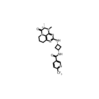 C[C@H]1C(=O)N2CCCc3nc(N[C@H]4C[C@@H](NC(=O)c5ccc(C(F)(F)F)nc5)C4)nc(c32)N1C